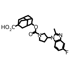 Cc1nc2cc(F)ccc2n1C1CCN(C(=O)OC2C3CC4CC2CC(C(=O)O)(C4)C3)C1